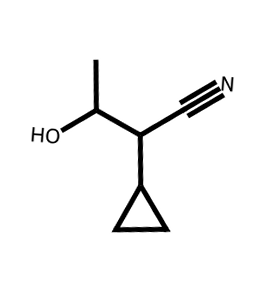 CC(O)C(C#N)C1CC1